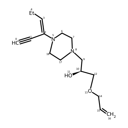 C#C/C(=C\CC)N1CCN(C[C@H](O)COCC=C)CC1